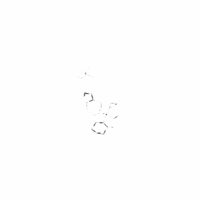 CC(C)(C)[Si](C)(C)Oc1cc2c(s1)CCN(C(C=O)(c1ccccc1F)C1CC1)C2